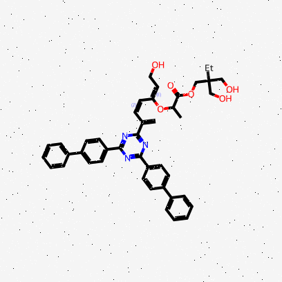 C=C(/C=C\C(=C/CO)OC(C)C(=O)OCC(CC)(CO)CO)c1nc(-c2ccc(-c3ccccc3)cc2)nc(-c2ccc(-c3ccccc3)cc2)n1